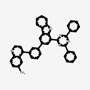 Cc1ccc2nccc(-c3cccc(-c4cc(-c5nc(-c6ccccc6)nc(-c6ccccc6)n5)c5oc6ccccc6c5c4)c3)c2c1